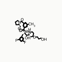 COC[C@H]1CCCN1C(=O)c1cc(C)cc(C(=O)N[C@@H](Cc2cc(F)cc(F)c2)[C@H](O)[C@H]2C[C@@H](OCCCO)CCN2)c1